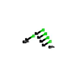 Cl[Se-].Cl[Se-].Cl[Se-].Cl[Se-].Cl[Se-].[Cr+3].[Cu+2]